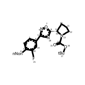 CCCCCCCCCc1ccc(-c2noc([C@@H]3CCCN3C(=O)OC(C)(C)C)n2)cc1F